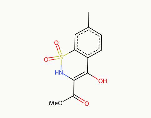 COC(=O)C1=C(O)c2ccc(C)cc2S(=O)(=O)N1